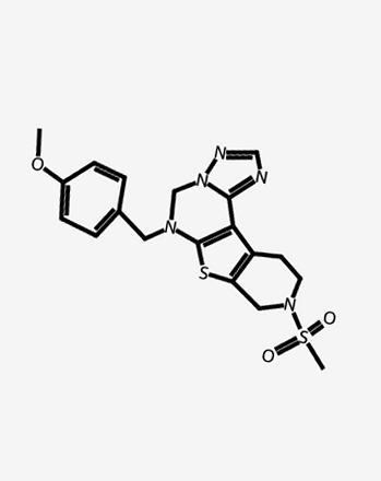 COc1ccc(CN2Cn3ncnc3-c3c2sc2c3CCN(S(C)(=O)=O)C2)cc1